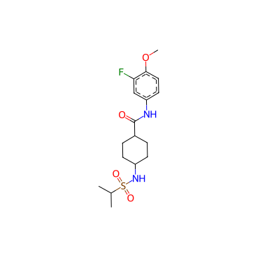 COc1ccc(NC(=O)C2CCC(NS(=O)(=O)C(C)C)CC2)cc1F